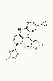 COc1c(-c2nnn(C)n2)ccc(Nc2ccc(C3CC3)cn2)c1NC1=CNN(C)C1